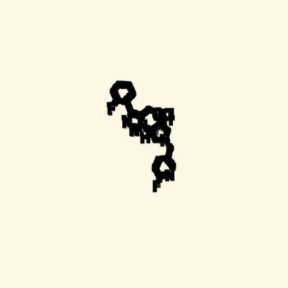 Cl.Fc1ccc(CN2C[C@@H]3[C@@H](C2)OCc2c(-c4ccccc4F)nnn23)cn1